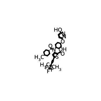 CC(C)(C#Cc1cc(N(C(=O)[C@H]2CC[C@H](C)CC2)[C@H]2CC[C@H](Oc3ccc(O)nn3)CC2)c(C(=O)O)s1)C(F)(F)F